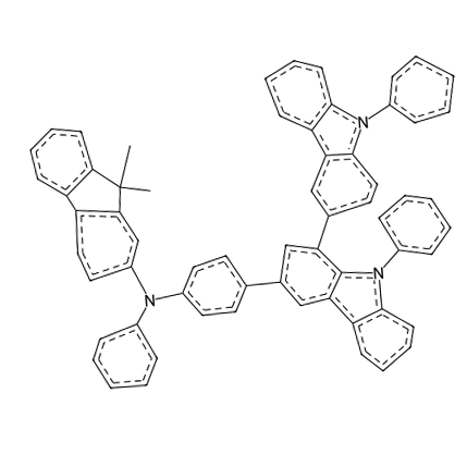 CC1(C)c2ccccc2-c2ccc(N(c3ccccc3)c3ccc(-c4cc(-c5ccc6c(c5)c5ccccc5n6-c5ccccc5)c5c(c4)c4ccccc4n5-c4ccccc4)cc3)cc21